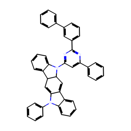 C1=c2c(n(-c3ccccc3)c3ccccc23)=CC2c3ccccc3N(c3cc(-c4ccccc4)nc(-c4cccc(-c5ccccc5)c4)n3)C12